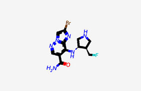 NC(=O)c1cnn2cc(Br)nc2c1N[C@@H]1CNC[C@H]1CF